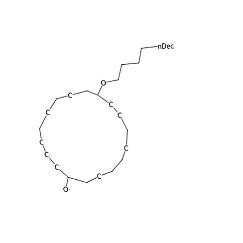 [CH2]CCCCCCCCCCCCCOC1CCCCCCCCC([O])CCCCCCCC1